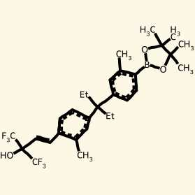 CCC(CC)(c1ccc(C=CC(O)(C(F)(F)F)C(F)(F)F)c(C)c1)c1ccc(B2OC(C)(C)C(C)(C)O2)c(C)c1